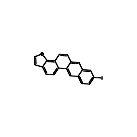 Ic1ccc2cc3c(ccc4c3ccc3ccoc34)cc2c1